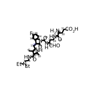 CCN(CC)CCNC(=O)c1c(C)[nH]c(/C=C2\C(=O)N(C(=O)N[C@H](C=O)CCNC(=O)[C@@H](N)CCC(=O)O)c3ccc(F)cc32)c1C